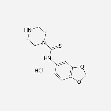 Cl.S=C(Nc1ccc2c(c1)OCO2)N1CCNCC1